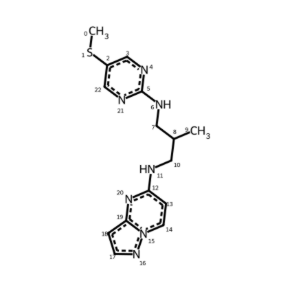 CSc1cnc(NCC(C)CNc2ccn3nccc3n2)nc1